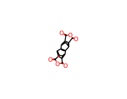 O=C1OC(=O)C2=C3CC(=C12)c1c2c4c(c(c13)CC2)C(=O)OC4=O